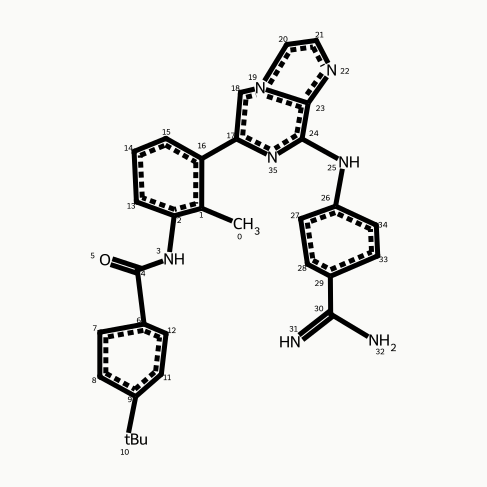 Cc1c(NC(=O)c2ccc(C(C)(C)C)cc2)cccc1-c1cn2ccnc2c(Nc2ccc(C(=N)N)cc2)n1